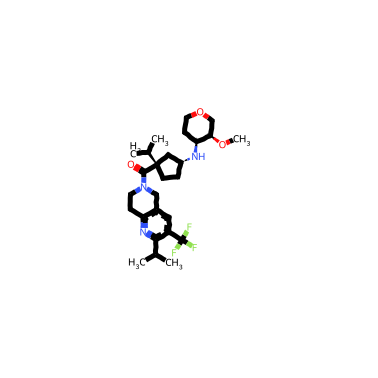 CO[C@@H]1COCC[C@@H]1N[C@@H]1CC[C@@](C(=O)N2CCc3nc(C(C)C)c(C(F)(F)F)cc3C2)(C(C)C)C1